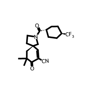 CC1(C)C[C@@]2(C=C(C#N)C1=O)CCN(C(=O)[C@H]1CC[C@H](C(F)(F)F)CC1)C2